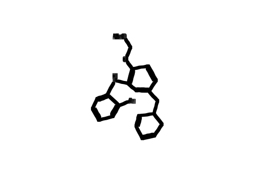 COCOc1ccc(CC2C=CC=CC2)cc1Pc1ccccc1C(C)=O